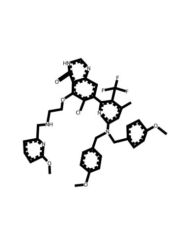 COc1ccc(CN(Cc2ccc(OC)cc2)c2cc(C)c(C(F)(F)F)c(-c3cc4nc[nH]c(=O)c4c(OCCNCc4cccc(OC)n4)c3Cl)n2)cc1